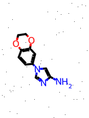 Nc1cn(-c2ccc3c(c2)OCCO3)cn1